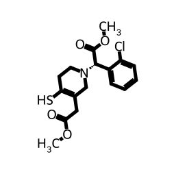 COC(=O)CC1=C(S)CCN([C@H](C(=O)OC)c2ccccc2Cl)C1